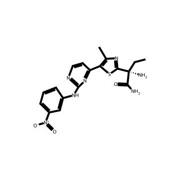 CC[C@@](N)(C(N)=O)c1nc(C)c(-c2ccnc(Nc3cccc([N+](=O)[O-])c3)n2)s1